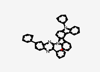 c1ccc(-c2ccc3nc(-c4ccccc4)c(-n4c5ccccc5c5c6c7ccccc7n(-c7ccccc7)c6ccc54)nc3c2)cc1